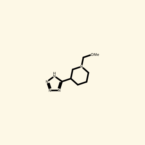 COCN1CCCC(c2nnn[nH]2)C1